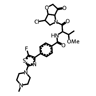 COC(C)C(NC(=O)c1ccc(-c2nc(N3CCN(C)CC3)sc2F)cc1)C(=O)N1CC(Cl)C2OCC(=O)C21